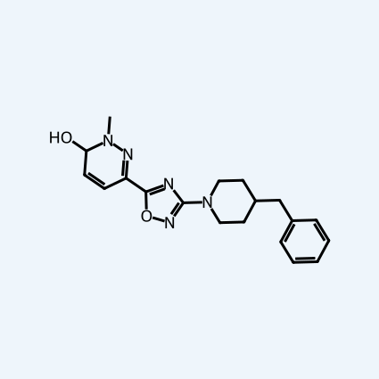 CN1N=C(c2nc(N3CCC(Cc4ccccc4)CC3)no2)C=CC1O